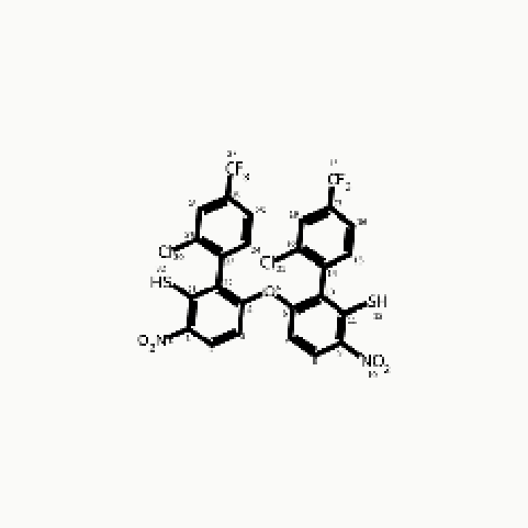 O=[N+]([O-])c1ccc(Oc2ccc([N+](=O)[O-])c(S)c2-c2ccc(C(F)(F)F)cc2Cl)c(-c2ccc(C(F)(F)F)cc2Cl)c1S